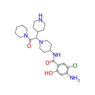 Nc1cc(O)c(C(=O)NC2CCN(C(C(=O)N3CCCCC3)C3CCNCC3)CC2)cc1Cl